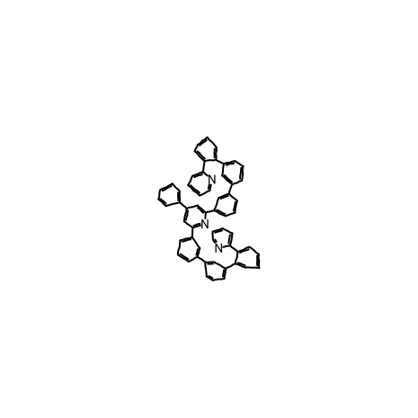 c1ccc(-c2cc(-c3cccc(-c4cccc(-c5ccccc5-c5ccccn5)c4)c3)nc(-c3cccc(-c4cccc(-c5ccccc5-c5ccccn5)c4)c3)c2)cc1